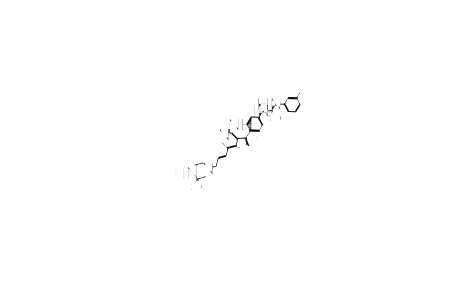 Cc1cccc(NC(=O)Nc2ccc(-c3csc4c(C=CCN5CCNC(=O)C5)cnc(N)c34)cc2)c1